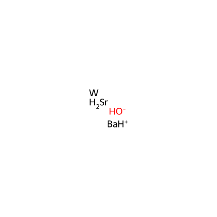 [BaH+].[OH-].[SrH2].[W]